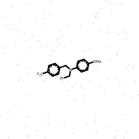 COc1ccc(N(Cc2ccc(C(F)(F)F)cc2)CC(C)C)cc1